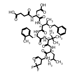 Cc1ccccc1C[C@H](NC(=O)[C@H](NC(=O)[C@H](CC(=O)O)NC(=O)CCC(=O)O)C(C)OCc1ccccc1)C(=O)N[C@H](C(=O)N[C@@H](CC(C)C)C(=O)NC(C=O)CC(F)(F)F)C(C)(C)C